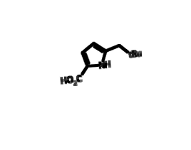 CC(C)(C)Cc1ccc(C(=O)O)[nH]1